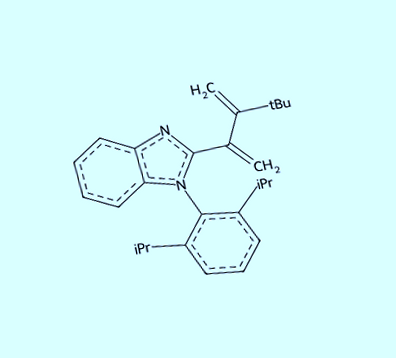 C=C(C(=C)C(C)(C)C)c1nc2ccccc2n1-c1c(C(C)C)cccc1C(C)C